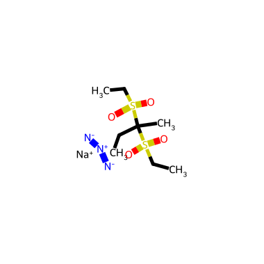 CCC(C)(S(=O)(=O)CC)S(=O)(=O)CC.[N-]=[N+]=[N-].[Na+]